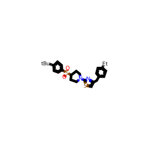 CCc1ccc(Cc2csc(N3CCC(S(=O)(=O)c4ccc(C(C)(C)C)cc4)CC3)n2)cc1